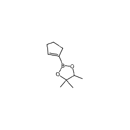 CC1OB(C2=CCCC2)OC1(C)C